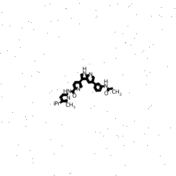 C=CC(=O)Nc1cccc(-c2cnc3[nH]cc(-c4ccc(C(=O)Nc5ccc(C(C)C)c(C)n5)nc4)c3c2)c1